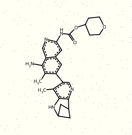 Cc1c(-c2cc3cc(NC(=O)OC4CCOCC4)ncc3c(N)c2C)cnc2c1NC1CC2C1